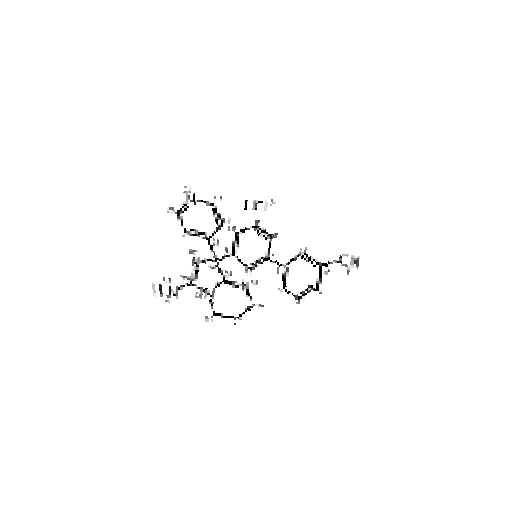 Cl.N#Cc1cccc(-c2cccc(C3(c4ccncc4)N=C(N)N4CCCN=C43)c2)c1